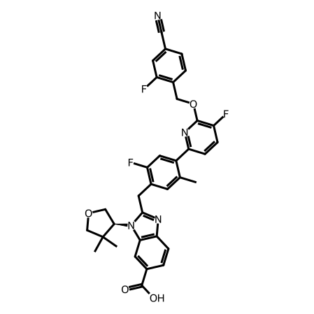 Cc1cc(Cc2nc3ccc(C(=O)O)cc3n2[C@@H]2COCC2(C)C)c(F)cc1-c1ccc(F)c(OCc2ccc(C#N)cc2F)n1